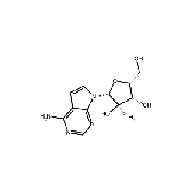 C[C@@]1(O)[C@@H](O)[C@@H](CO)O[C@H]1n1ccc2c(N)ncnc21